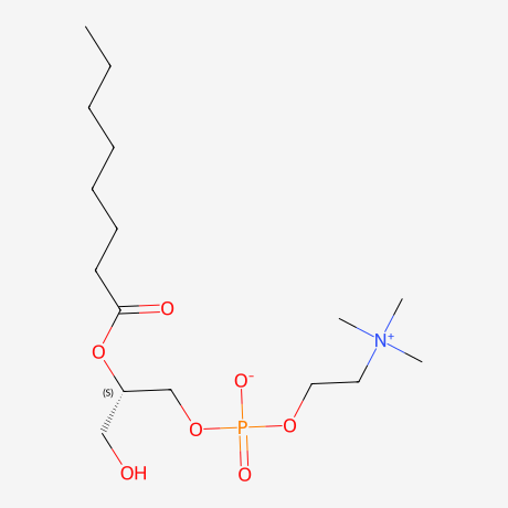 CCCCCCCC(=O)O[C@@H](CO)COP(=O)([O-])OCC[N+](C)(C)C